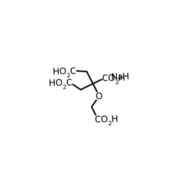 O=C(O)COC(CC(=O)O)(CC(=O)O)C(=O)O.[NaH]